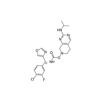 CC(C)Nc1ncc2c(n1)CN(OC(=O)N[C@H](c1ccc(Cl)c(F)c1)c1cocn1)CC2